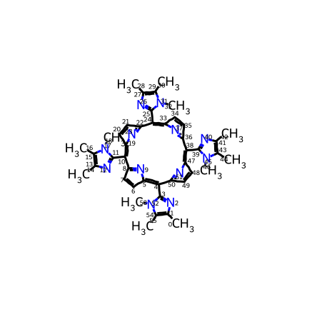 Cc1nc(C2=C3C=CC(=N3)C(c3nc(C)c(C)n3C)=C3C=CC(=N3)C(c3nc(C)c(C)n3C)=C3C=CC(=N3)C(c3nc(C)c(C)n3C)=C3C=CC2=N3)n(C)c1C